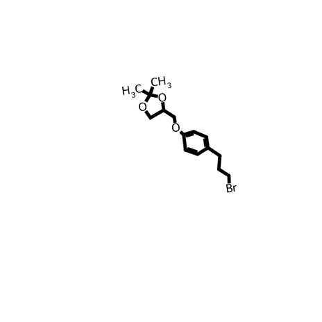 CC1(C)OCC(COc2ccc(CCCBr)cc2)O1